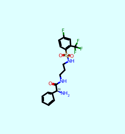 N[C@H](C(=O)NCCCNS(=O)(=O)c1ccc(F)cc1C(F)(F)F)c1ccccc1